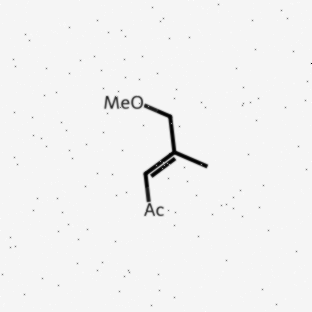 COCC(C)=CC(C)=O